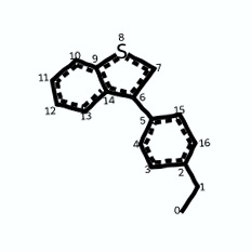 CCc1ccc(-c2csc3ccccc23)cc1